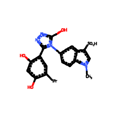 CC(C)c1cc(-c2nnc(O)n2-c2ccc3c(c2)c(S(=O)(=O)O)cn3C)c(O)cc1O